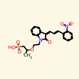 CC(CS(=O)(=O)O)OCCN1C(=O)C(=CC=Cc2ccccc2[N+](=O)[O-])c2ccccc21